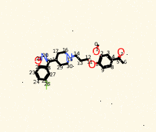 COc1cc(C(C)=O)ccc1OCCCN1CCC(c2noc3ccc(F)cc23)CC1